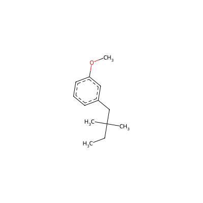 CCC(C)(C)Cc1cccc(OC)c1